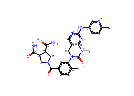 Cc1ccc(Nc2ncc3c(n2)N(C)C(=O)N(c2cc(C(=O)N4CC(C(N)=O)C(C(N)=O)C4)ccc2C)C3)cn1